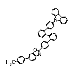 Cc1ccc(-c2ccc3nc(-c4ccc(-c5ccccc5-c5ccccc5-c5ccc(-n6c7ccccc7c7ccccc76)cc5)cc4)oc3c2)cc1